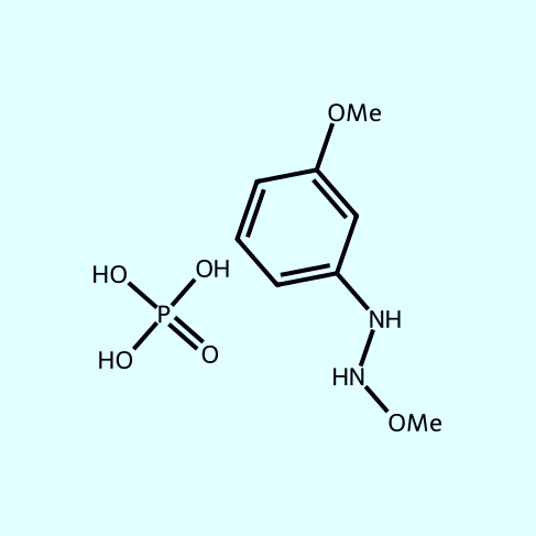 CONNc1cccc(OC)c1.O=P(O)(O)O